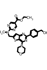 CCOC(=O)c1cnc(N(C)Cc2cc3nc(-c4ccc(CO)cc4)nc(N4CCOCC4)c3s2)nc1